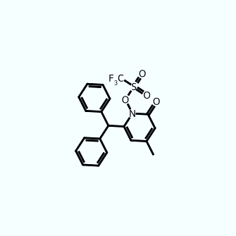 Cc1cc(C(c2ccccc2)c2ccccc2)n(OS(=O)(=O)C(F)(F)F)c(=O)c1